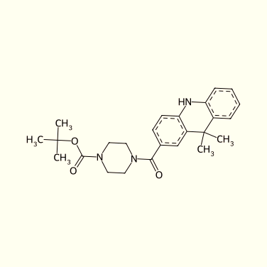 CC(C)(C)OC(=O)N1CCN(C(=O)c2ccc3c(c2)C(C)(C)c2ccccc2N3)CC1